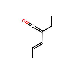 CC=CC(=C=O)CC